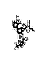 C=CC(=O)N[C@@H]1CCN(c2n[nH]c3nccc(-c4ccc(CNC(=O)c5noc(C(C)(C)C)n5)c(F)c4)c23)C1